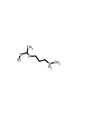 CCSC(C)OCCC[SiH2]C